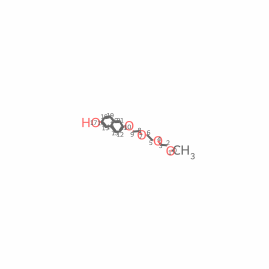 COCCOCCOCCOc1ccc2cc(O)ccc2c1